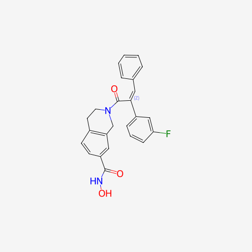 O=C(NO)c1ccc2c(c1)CN(C(=O)/C(=C\c1ccccc1)c1cccc(F)c1)CC2